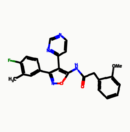 COc1ccccc1CC(=O)Nc1onc(-c2ccc(F)c(C)c2)c1-c1ccncn1